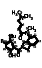 CN(C)C/C=C/C(=O)N(C)c1cccc2c1CN(C(=O)c1cc(C(C)(C)C)c(F)cc1O)C2